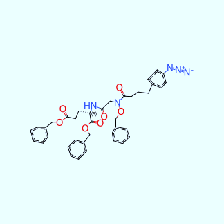 [N-]=[N+]=Nc1ccc(CCCC(=O)N(CC(=O)N[C@@H](CCC(=O)OCc2ccccc2)C(=O)OCc2ccccc2)OCc2ccccc2)cc1